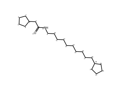 O=C(CC1CCCC1)NCCCCCCCCCCC1CCCC1